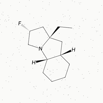 CC[C@]12C[C@@H](F)CN1[C@H]1CCCC[C@H]1C2